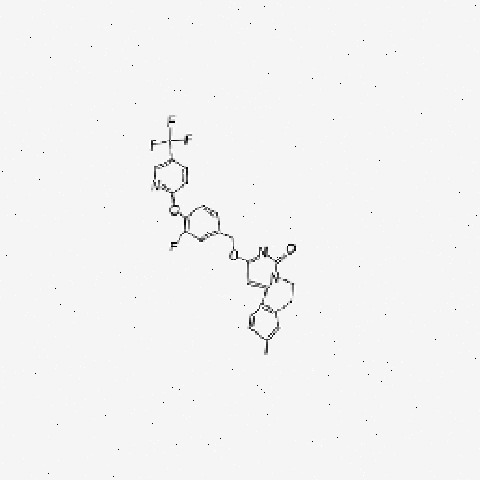 Cc1ccc2c(c1)CCn1c-2cc(OCc2ccc(Oc3ccc(C(F)(F)F)cn3)c(F)c2)nc1=O